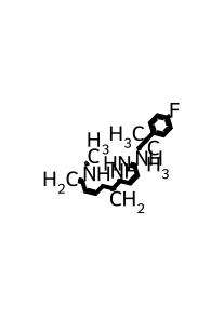 C=C(/C=C\CC(=C)C(=N)/C=C\C(=N)NCC(C)(C)c1ccc(F)cc1)NCC